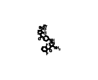 CC(C)S(=O)(=O)c1csc(C(=O)N2CCC(Nc3nc(N)c(C(=O)c4c(F)cccc4F)s3)CC2)c1Cl